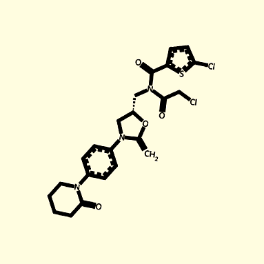 C=C1O[C@@H](CN(C(=O)CCl)C(=O)c2ccc(Cl)s2)CN1c1ccc(N2CCCCC2=O)cc1